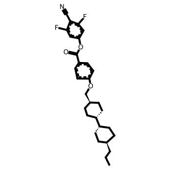 CCC[C@H]1CC[C@H]([C@H]2CC[C@H](COc3ccc(C(=O)Oc4cc(F)c(C#N)c(F)c4)cc3)CC2)CC1